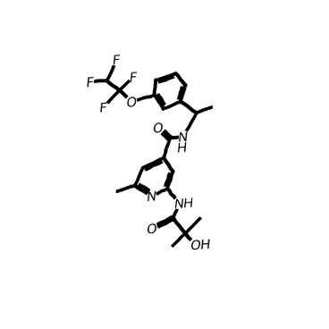 Cc1cc(C(=O)NC(C)c2cccc(OC(F)(F)C(F)F)c2)cc(NC(=O)C(C)(C)O)n1